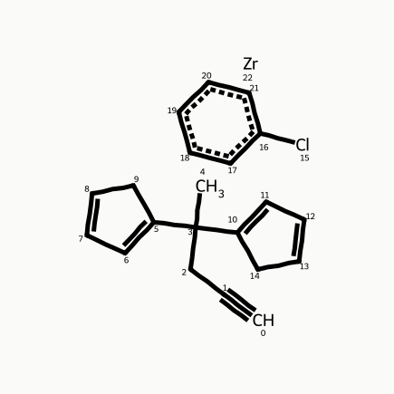 C#CCC(C)(C1=CC=CC1)C1=CC=CC1.Clc1ccccc1.[Zr]